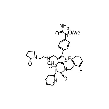 CON(C(N)=O)c1ccc(-c2sc3c(c2CN(C)CCN2CCCC2=O)c(=O)n(-c2ccccn2)c(=O)n3Cc2c(F)cccc2F)cc1